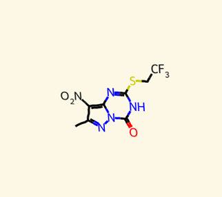 Cc1nn2c(=O)[nH]c(SCC(F)(F)F)nc2c1[N+](=O)[O-]